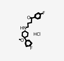 CO[C@]1(c2ccc(F)cc2)CC[C@@H](NCCCC(=O)c2ccc(F)cc2)CC1.Cl